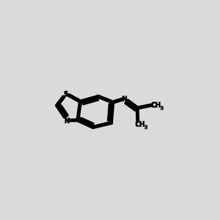 CC(C)=Nc1ccc2ncsc2c1